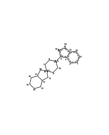 c1ccc2c(N3CC[N+]4(CC3)CC3CCCCC3C4)nsc2c1